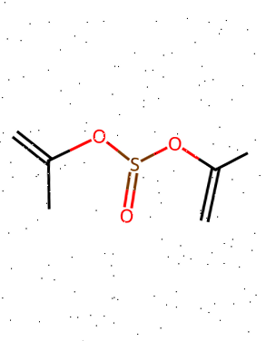 C=C(C)OS(=O)OC(=C)C